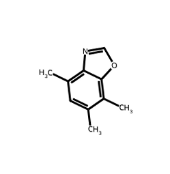 Cc1cc(C)c2ncoc2c1C